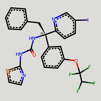 O=C(Nc1nccs1)N[C@@](Cc1ccccc1)(c1cccc(OC(F)(F)C(F)F)c1)c1ccc(I)cn1